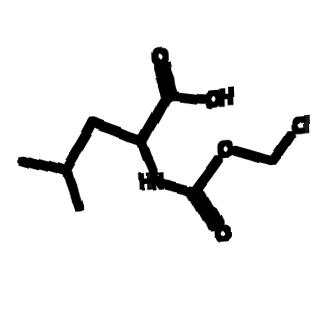 CC(C)CC(NC(=O)OCCl)C(=O)O